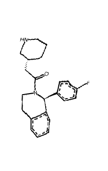 O=C(C[C@H]1CCCNC1)N1CCc2ccccc2[C@@H]1c1ccc(F)cc1